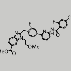 COCCn1c(Cc2ccc(-c3cccc(NC(=O)c4ccc(C#N)cc4F)n3)cc2F)nc2ccc(C(=O)OC)cc21